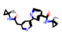 CC(C)(C)C1(NC(=O)Cc2cncc(-c3cc(C(=O)NC4(C(C)(C)C)CC4)ccn3)c2)CC1